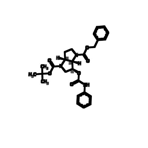 CC(C)(C)OC(=O)N1C[C@H](OC(=O)Nc2ccccc2)[C@@H]2[C@H]1CCN2C(=O)OCc1ccccc1